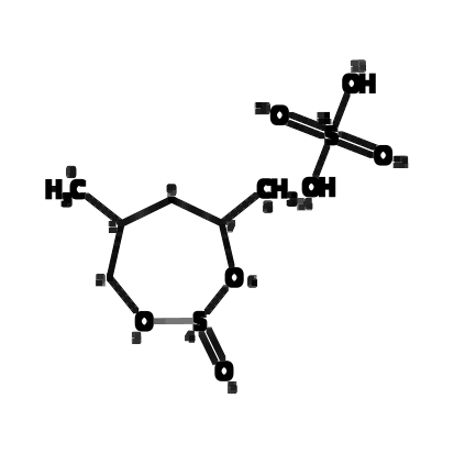 CC1COS(=O)OC(C)C1.O=S(=O)(O)O